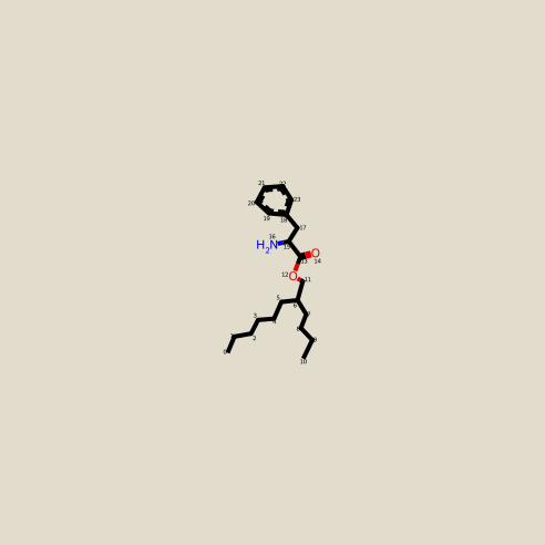 CCCCCCC(CCCC)COC(=O)C(N)Cc1ccccc1